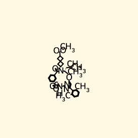 COC(=O)C1CC2(C1)CC(N1C(=O)c3cccc(c3)S(=O)(=O)Nc3nc(cc(-c4c(C)cccc4C)n3)OC[C@H]1CC(C)(C)C)C2